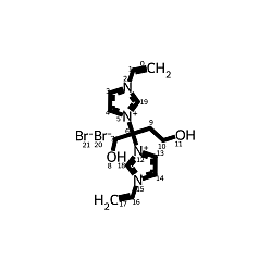 C=Cn1cc[n+](C(CO)(CCO)[n+]2ccn(C=C)c2)c1.[Br-].[Br-]